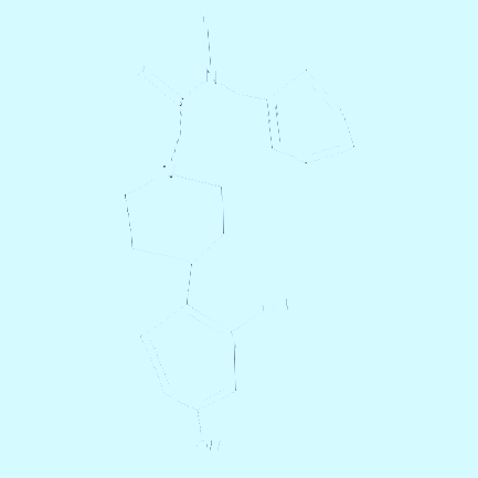 CN(C(=O)N1CCC(c2ccc(O)cc2O)CC1)c1ccccc1